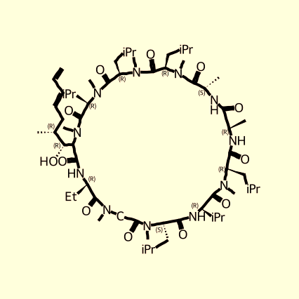 C=CC=CC[C@@H](C)[C@@H](O)C1C(=O)N[C@H](CC)C(=O)N(C)CC(=O)N(C)[C@@H](CC(C)C)C(=O)N[C@H](C(C)C)C(=O)N(C)[C@H](CC(C)C)C(=O)N[C@H](C)C(=O)N[C@@H](C)C(=O)N(C)[C@H](CC(C)C)C(=O)N(C)[C@H](CC(C)C)C(=O)N(C)[C@H](C(C)C)C(=O)N1C